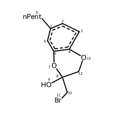 CCCCCc1ccc2c(c1)OC(O)(CBr)CO2